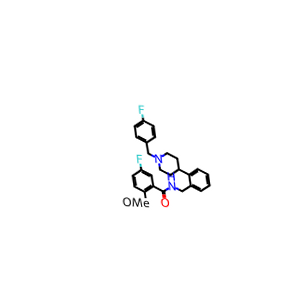 COc1ccc(F)cc1C(=O)NCc1ccccc1C1CCN(Cc2ccc(F)cc2)CC1